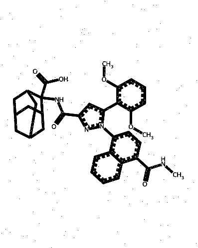 CNC(=O)c1ccc(-n2nc(C(=O)NC3(C(=O)O)C4CC5CC(C4)CC3C5)cc2-c2c(OC)cccc2OC)c2ccccc12